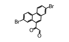 O=CC(=O)c1cc2cc(Br)ccc2c2ccc(Br)cc12